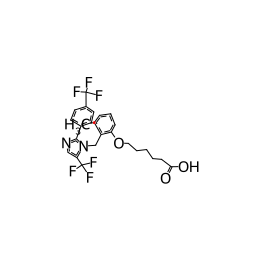 Cc1cccc(OCCCCCC(=O)O)c1Cn1c(C(F)(F)F)cnc1-c1ccc(C(F)(F)F)cc1